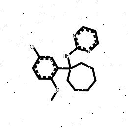 COc1ccc(Cl)cc1C1(Nc2ncccn2)CCCCCC1